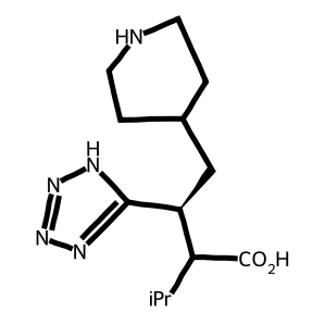 CC(C)C(C(=O)O)[C@H](CC1CCNCC1)c1nnn[nH]1